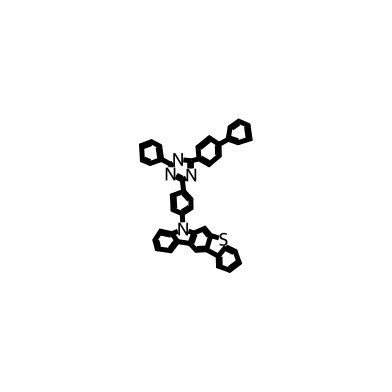 c1ccc(-c2ccc(-c3nc(-c4ccccc4)nc(-c4ccc(-n5c6ccccc6c6cc7c(cc65)sc5ccccc57)cc4)n3)cc2)cc1